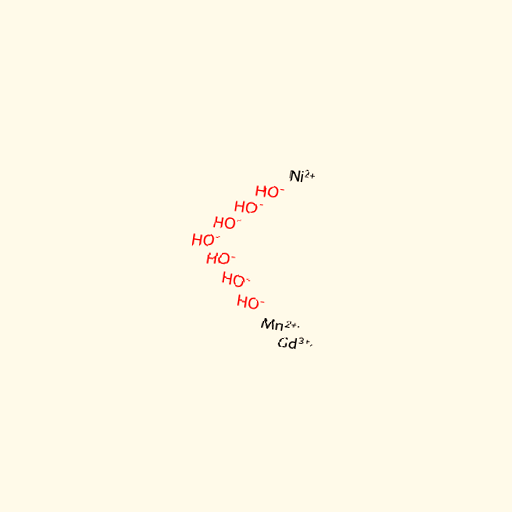 [Gd+3].[Mn+2].[Ni+2].[OH-].[OH-].[OH-].[OH-].[OH-].[OH-].[OH-]